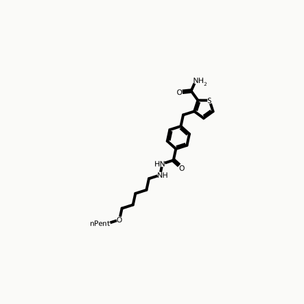 CCCCCOCCCCCNNC(=O)c1ccc(Cc2ccsc2C(N)=O)cc1